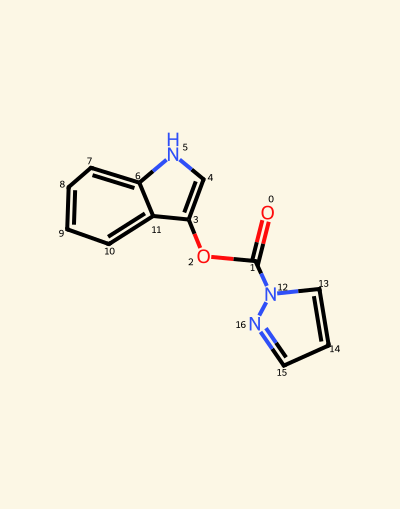 O=C(Oc1c[nH]c2ccccc12)n1cccn1